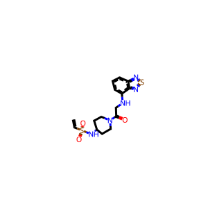 C=CS(=O)(=O)NC1CCN(C(=O)CNc2cccc3nsnc23)CC1